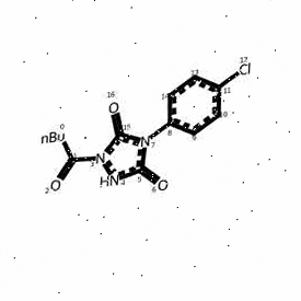 CCCCC(=O)n1[nH]c(=O)n(-c2ccc(Cl)cc2)c1=O